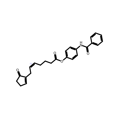 O=C(CCC/C=C\CC1=CCCC1=O)Oc1ccc(NC(=O)c2ccccc2)cc1